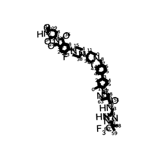 Cc1cc(-c2ccc(CN3CC[C@@H](N4CCN(c5cc6c(cc5F)C(=O)N(C5CCC(=O)NC5=O)C6=O)CC4)C[C@@H]3C)cc2)ccc1-n1cc(C(=O)NCc2nc(C(C)(C)C(F)(F)F)n[nH]2)cn1